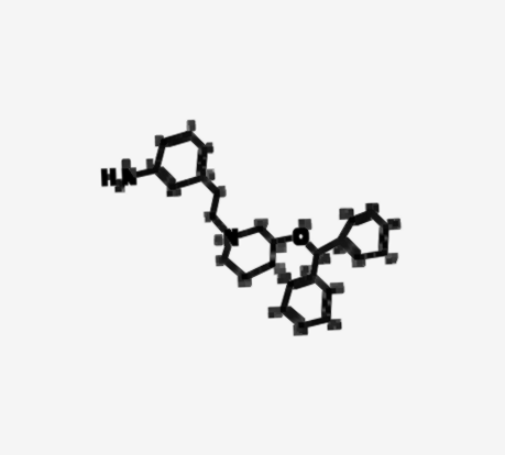 Nc1cccc(CCN2CCCC(OC(c3ccccc3)c3ccccc3)C2)c1